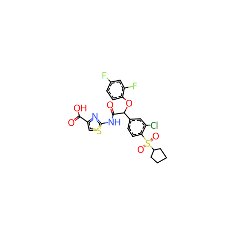 O=C(O)c1csc(NC(=O)C(Oc2ccc(F)cc2F)c2ccc(S(=O)(=O)C3CCCC3)c(Cl)c2)n1